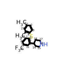 Cc1ccc(Sc2ccc(C(F)(F)F)cc2C2CCNCC2)c(C)c1